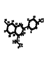 CCNc1nc(-c2ccc(Cl)cc2)nc2cc(C)ccc12